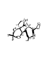 CC[C@@]1(C(=O)O)OC(C)(C)O[C@@H]1c1sc(Cl)nc1C